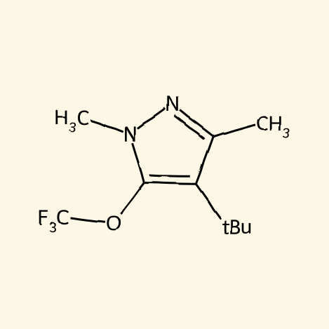 Cc1nn(C)c(OC(F)(F)F)c1C(C)(C)C